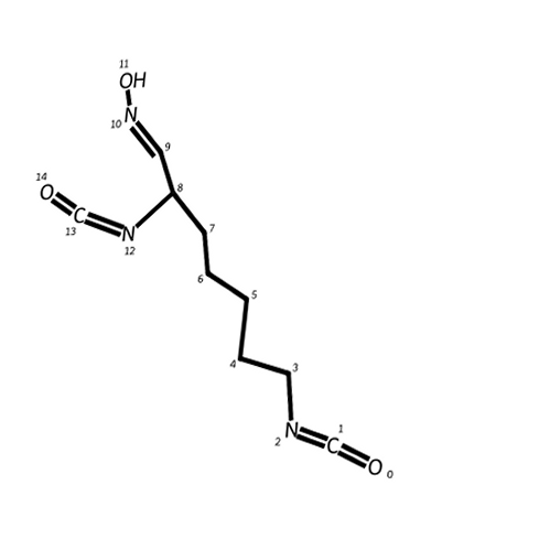 O=C=NCCCCCC(C=NO)N=C=O